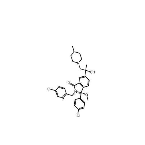 CO[C@]1(c2ccc(Cl)cc2)c2ccc(C(C)(O)CN3CCN(C)CC3)cc2C(=O)N1Cc1ccc(Cl)cn1